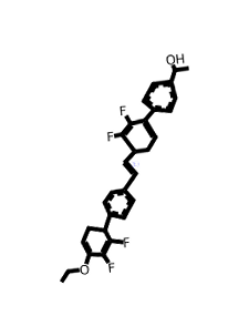 CCOC1=CCC(c2ccc(/C=C/C3CC=C(c4ccc(C(C)O)cc4)C(F)=C3F)cc2)C(F)=C1F